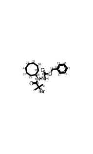 CC(C)(Br)C(=O)N(NC(=O)OCc1ccccc1)C1CCCCCCC1